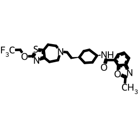 Cc1nc2cccc(C(=O)N[C@H]3CC[C@H](CCN4CCc5nc(OCC(F)(F)F)sc5CC4)CC3)c2o1